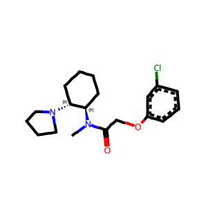 CN(C(=O)COc1cccc(Cl)c1)[C@@H]1CCCC[C@H]1N1CCCC1